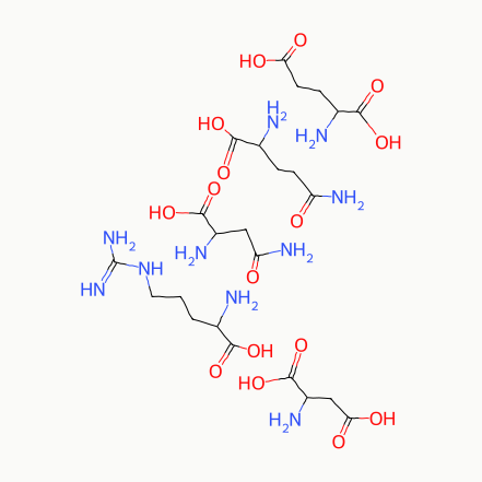 N=C(N)NCCCC(N)C(=O)O.NC(=O)CC(N)C(=O)O.NC(=O)CCC(N)C(=O)O.NC(CC(=O)O)C(=O)O.NC(CCC(=O)O)C(=O)O